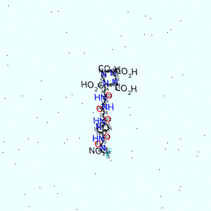 N#C[C@@H]1CC(F)(F)CN1C(=O)CNC(=O)c1ccnc2c(NC(=O)CCC(=O)NCCNC(=O)CCC(C(=O)O)N3CCN(CC(=O)O)CCN(CC(=O)O)CCN(CC(=O)O)CC3)cccc12